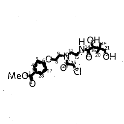 COC(=O)c1ccc(OCCN(CCNC(=O)C(O)C(C)(C)CO)C(=O)CCl)cc1